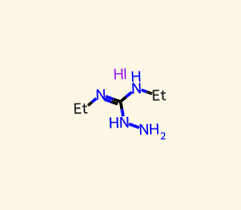 CC/N=C(\NN)NCC.I